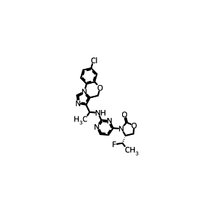 CC(Nc1nccc(N2C(=O)OC[C@@H]2C(C)F)n1)c1ncn2c1COc1cc(Cl)ccc1-2